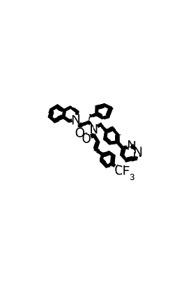 O=C([C@H](Cc1ccccc1)N(Cc1ccc(-c2cccnn2)cc1)C(=O)C=Cc1ccc(C(F)(F)F)cc1)N1CCc2ccccc2C1